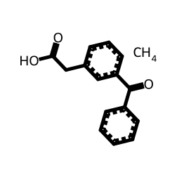 C.O=C(O)Cc1cccc(C(=O)c2ccccc2)c1